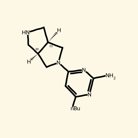 CCCCc1cc(N2C[C@H]3CNC[C@H]3C2)nc(N)n1